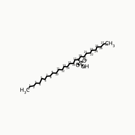 CCCCCCCCCCCCCCCCCCC(CCCCCCCCCC)S(=O)(=O)O